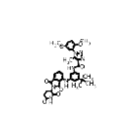 COc1ccc(OC)c(-n2nnc(C(=O)Nc3cc(Nc4cccc5c4C(=O)N(C4CCC(=O)NC4=O)C5=O)cc(C(C)(C)C)c3)c2C)c1